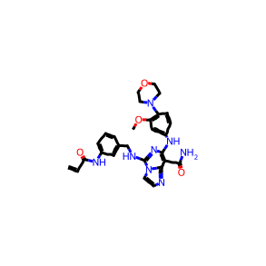 C=CC(=O)Nc1cccc(CNc2nc(Nc3ccc(N4CCOCC4)c(OC)c3)c(C(N)=O)c3nccn23)c1